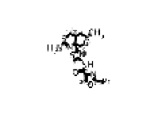 CC(C)c1nc(C(=O)Nc2csc(C34CO[C@@H](C)C[C@H]3CSC(N)=N4)n2)co1